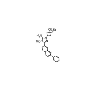 CCOC(=O)[C@]1(C)C[C@H](n2nc(-c3ccc4ccc(-c5ccccc5)nc4c3)c(C#N)c2N)C1